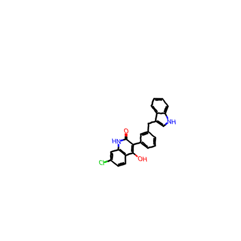 O=c1[nH]c2cc(Cl)ccc2c(O)c1-c1cccc(Cc2c[nH]c3ccccc23)c1